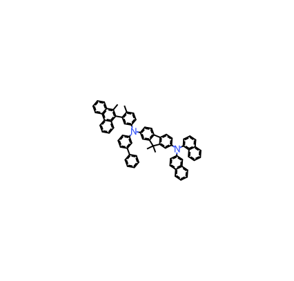 Cc1ccc(N(c2cccc(-c3ccccc3)c2)c2ccc3c(c2)C(C)(C)c2cc(N(c4ccc5ccccc5c4)c4cccc5ccccc45)ccc2-3)cc1-c1c(C)c2ccccc2c2ccccc12